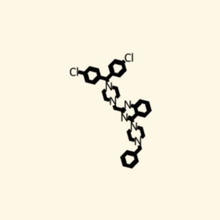 Clc1ccc(C(c2ccc(Cl)cc2)N2CCN(Cc3nc(N4CCN(Cc5ccccc5)CC4)c4ccccc4n3)CC2)cc1